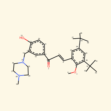 COc1c(C=CC(=O)c2ccc(O)c(CN3CCN(C)CC3)c2)cc(C(C)(C)C)cc1C(C)(C)C